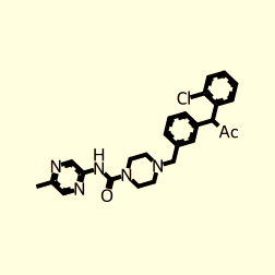 CC(=O)C(c1cccc(CN2CCN(C(=O)Nc3cnc(C)cn3)CC2)c1)c1ccccc1Cl